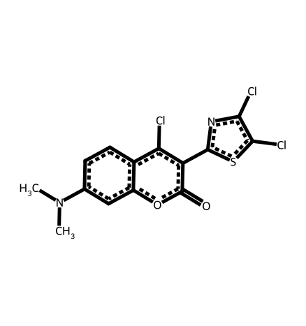 CN(C)c1ccc2c(Cl)c(-c3nc(Cl)c(Cl)s3)c(=O)oc2c1